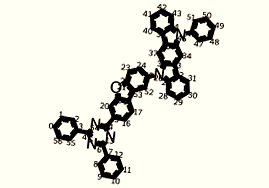 c1ccc(-c2nc(-c3ccccc3)nc(-c3ccc4c(c3)oc3ccc(-n5c6ccccc6c6cc7c(cc65)c5ccccc5n7-c5ccccc5)cc34)n2)cc1